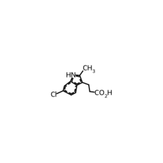 Cc1[nH]c2cc(Cl)ccc2c1CCC(=O)O